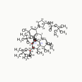 C=CN(Cc1c(Br)cc(Cl)cc1N1CC[C@@H](NC(=O)OC(C)(C)C)C1)C(/N=C\CCCC)=C(/C(=C)N(C(=O)OC(C)(C)C)C(=O)OC(C)(C)C)C(C)CC